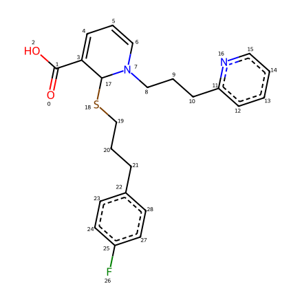 O=C(O)C1=CC=CN(CCCc2ccccn2)C1SCCCc1ccc(F)cc1